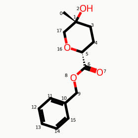 C[C@@]1(O)CC[C@H](C(=O)OCc2ccccc2)OC1